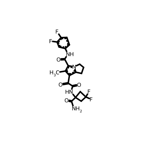 Cc1c(C(=O)C(=O)NC2(C(N)=O)CC(F)(F)C2)c2n(c1C(=O)Nc1ccc(F)c(F)c1)CCC2